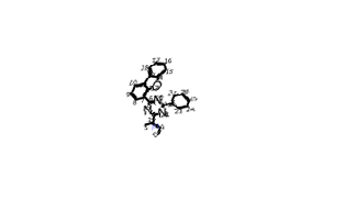 C/C=C(\C)c1nc(-c2cccc3c2oc2ccccc23)nc(C2C=CC=CC2)n1